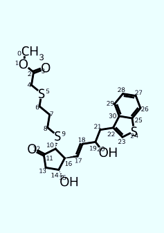 COC(=O)CSCCCS[C@H]1C(=O)C[C@@H](O)[C@@H]1C=CC(O)Cc1csc2ccccc12